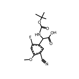 COc1cc(F)c(C(NC(=O)OC(C)(C)C)C(=O)O)cc1C#N